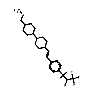 COCC1CCC(C2CCC(C=Cc3ccc(C(F)(F)C(F)C(F)(F)F)cc3)CC2)CC1